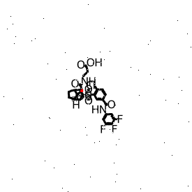 O=C(O)CCNC(=O)C[C@]1(O)C2CC[C@@H]1C[C@@H](S(=O)(=O)c1cc(C(=O)Nc3cc(F)c(F)c(F)c3)ccc1Cl)C2